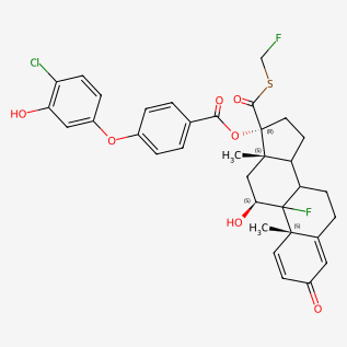 C[C@]12C=CC(=O)C=C1CCC1C3CC[C@](OC(=O)c4ccc(Oc5ccc(Cl)c(O)c5)cc4)(C(=O)SCF)[C@@]3(C)C[C@H](O)C12F